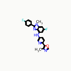 Cc1ncoc1-c1ccc(Nc2cc(F)cc3c2nc(-c2ccc(F)cc2)n3C)cn1